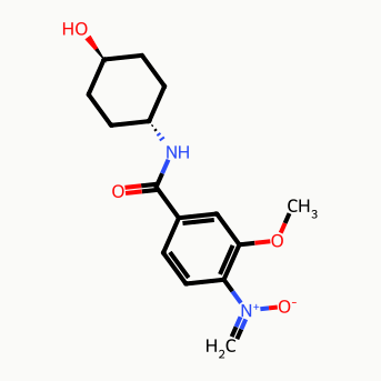 C=[N+]([O-])c1ccc(C(=O)N[C@H]2CC[C@H](O)CC2)cc1OC